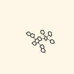 c1ccc(-c2nc(-c3ccc4c(-c5ccc6ccccc6c5)c5ccccc5c(-c5ccc6ccccc6c5)c4c3)n(-c3ccccc3)c2-c2ccccc2)cc1